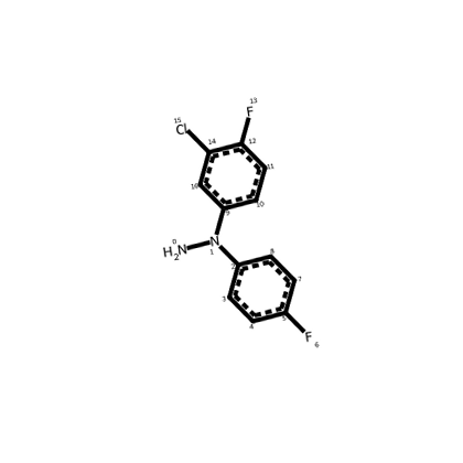 NN(c1ccc(F)cc1)c1ccc(F)c(Cl)c1